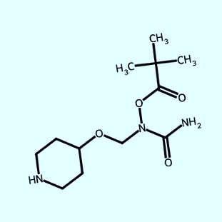 CC(C)(C)C(=O)ON(COC1CCNCC1)C(N)=O